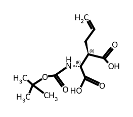 C=CC[C@@H](C(=O)O)[C@@H](NC(=O)OC(C)(C)C)C(=O)O